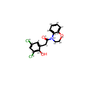 O=C(Cc1cc(Cl)cc(Cl)c1O)N1CCOc2ccccc21